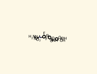 C/C(=C\c1cc(F)c(Oc2ccc(S(=O)(=O)Nc3ccc(OP(O)O)cc3)cc2)c(F)c1)C(=O)N=C(N)N